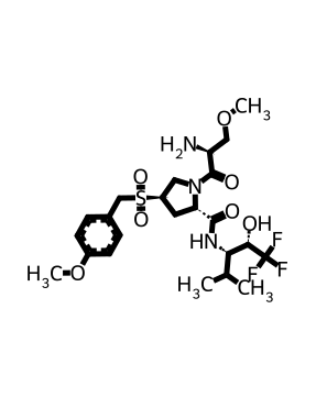 COC[C@H](N)C(=O)N1C[C@H](S(=O)(=O)Cc2ccc(OC)cc2)C[C@H]1C(=O)N[C@@H](C(C)C)[C@H](O)C(F)(F)F